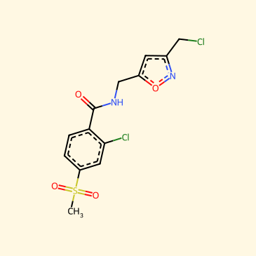 CS(=O)(=O)c1ccc(C(=O)NCc2cc(CCl)no2)c(Cl)c1